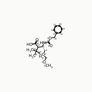 COCOC[C@@H](NC(=O)OCc1ccccc1)C(C(=O)O)C(C)(C)C